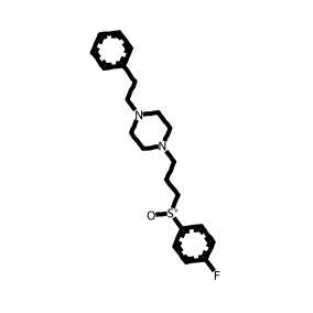 [O-][S+](CCCN1CCN(CCc2ccccc2)CC1)c1ccc(F)cc1